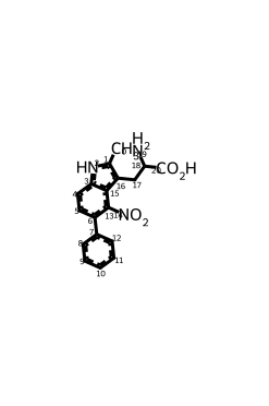 Cc1[nH]c2ccc(-c3ccccc3)c([N+](=O)[O-])c2c1CC(N)C(=O)O